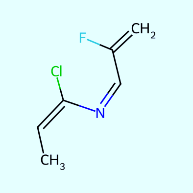 C=C(F)/C=N\C(Cl)=C/C